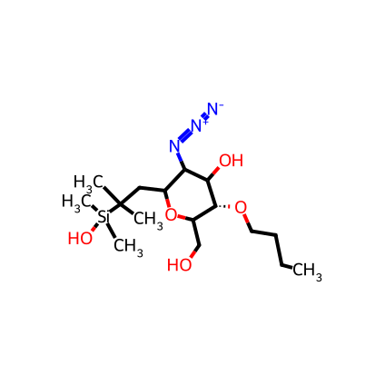 CCCCO[C@@H]1C(CO)OC(CC(C)(C)[Si](C)(C)O)C(N=[N+]=[N-])C1O